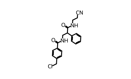 N#CCCNC(=O)C(CNC(=O)c1ccc(CCl)cc1)c1ccccc1